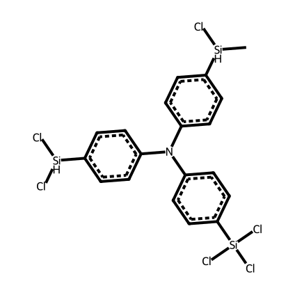 C[SiH](Cl)c1ccc(N(c2ccc([SiH](Cl)Cl)cc2)c2ccc([Si](Cl)(Cl)Cl)cc2)cc1